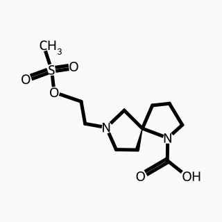 CS(=O)(=O)OCCN1CC[C@]2(CCCN2C(=O)O)C1